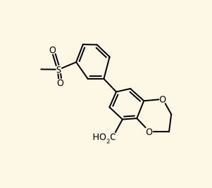 CS(=O)(=O)c1cccc(-c2cc3c(c(C(=O)O)c2)OCCO3)c1